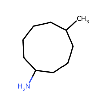 CC1CCCCC(N)CCC1